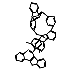 CCC1(c2cc(C)cc(C)c2)Cc2ccc3nc(c4c5ccccc5oc4c3c2)-c2ccc(cc2)-c2cccc(-c3ccc(-c4nc5ccccc5c5oc6ccccc6c45)cc3)c21